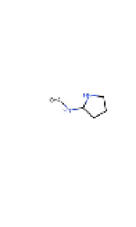 O=[C]NC1CCCN1